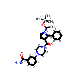 CC(O[Si](C)(C)C(C)(C)C)n1ccc(C(=O)N2CCN(c3cccc(C(N)=O)c3)CC2)c1-c1ccccc1